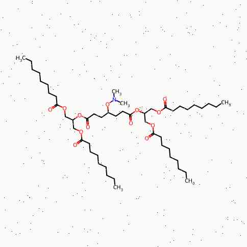 CCCCCCCCC(=O)OCC(COC(=O)CCCCCCCC)OC(=O)CCC(CCC(=O)OC(COC(=O)CCCCCCCC)COC(=O)CCCCCCCC)ON(C)C